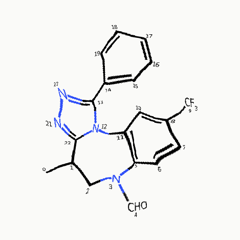 CC1CN(C=O)c2ccc(C(F)(F)F)cc2-n2c(-c3ccccc3)nnc21